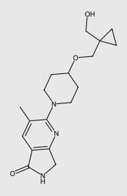 Cc1cc2c(nc1N1CCC(OCC3(CO)CC3)CC1)CNC2=O